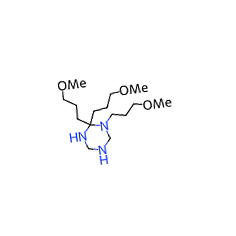 COCCCN1CNCNC1(CCCOC)CCCOC